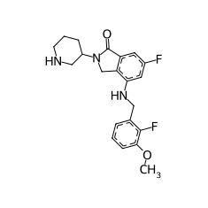 COc1cccc(CNc2cc(F)cc3c2CN(C2CCCNC2)C3=O)c1F